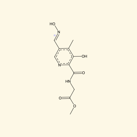 COC(=O)CNC(=O)c1ncc(/C=N/O)c(C)c1O